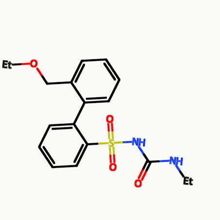 CCNC(=O)NS(=O)(=O)c1ccccc1-c1ccccc1COCC